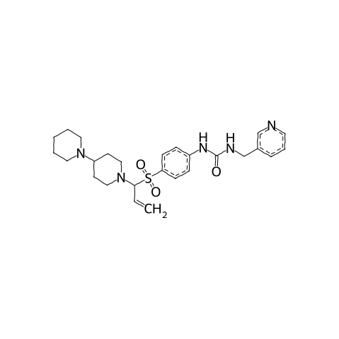 C=CC(N1CCC(N2CCCCC2)CC1)S(=O)(=O)c1ccc(NC(=O)NCc2cccnc2)cc1